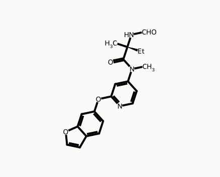 CC[C@@](C)(NC=O)C(=O)N(C)c1ccnc(Oc2ccc3ccoc3c2)c1